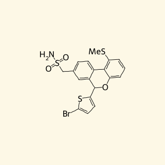 CSc1cccc2c1-c1ccc(CS(N)(=O)=O)cc1C(c1ccc(Br)s1)O2